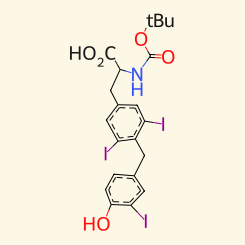 CC(C)(C)OC(=O)NC(Cc1cc(I)c(Cc2ccc(O)c(I)c2)c(I)c1)C(=O)O